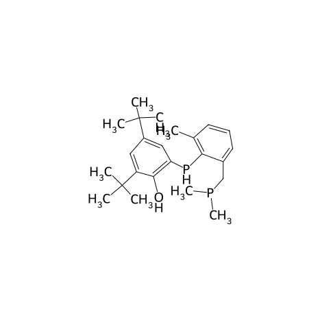 Cc1cccc(CP(C)C)c1Pc1cc(C(C)(C)C)cc(C(C)(C)C)c1O